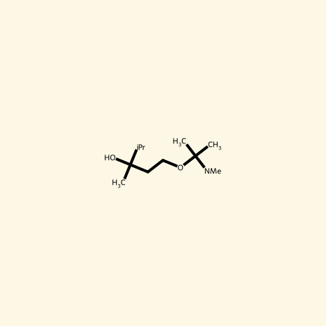 CNC(C)(C)OCCC(C)(O)C(C)C